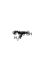 Nc1ccc(C[C@H](NC(=O)Nc2ccc(C(=O)O)cc2)C(=O)N[C@H]2CCN(Cc3ccc4c(c3)OCO4)C2)cc1